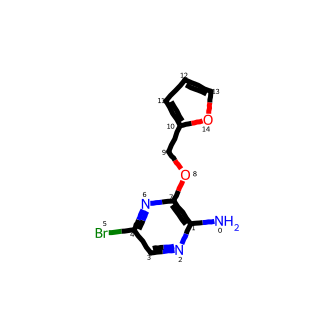 Nc1ncc(Br)nc1OCc1ccco1